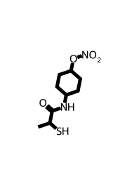 CC(S)C(=O)NC1CCC(O[N+](=O)[O-])CC1